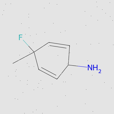 CC1(F)C=CC(N)C=C1